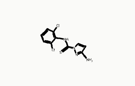 Nc1ccn(C(=S)Nc2c(Cl)cccc2Cl)n1